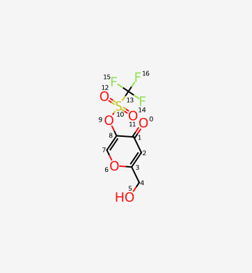 O=c1cc(CO)occ1OS(=O)(=O)C(F)(F)F